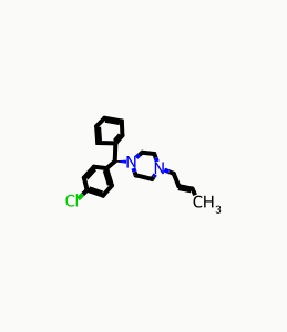 C/C=C/CN1CCN([C@H](c2ccccc2)c2ccc(Cl)cc2)CC1